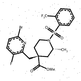 COC(=O)[C@]1(Cc2nc(Br)ccc2F)CCN(S(=O)(=O)c2ccccc2C(F)(F)F)[C@H](C)C1